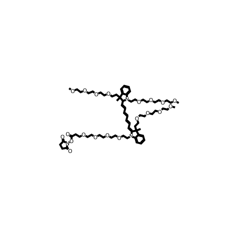 COCCOCCOCCOCCN1c2ccccc2C(C)(CCOCCOCCOCCOC)C1/C=C/C=C/C=C/C=C1/N(CCOCCOCCOCCOCCC(=O)ON2C(=O)CCC2=O)c2ccccc2C1(C)CCOCCOCCOCCOC